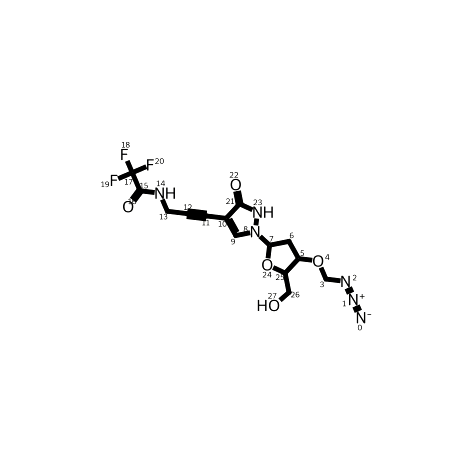 [N-]=[N+]=NCOC1CC(n2cc(C#CCNC(=O)C(F)(F)F)c(=O)[nH]2)OC1CO